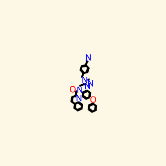 N#Cc1ccc(Cn2cnnc2CN(C(=O)c2ccc3ccccc3n2)c2ccc(Oc3ccccc3)cc2)cc1